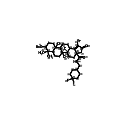 CC(=O)O[C@H]1CC[C@@]2(C)C(CC[C@]3(C)C2CCC2C4=C(C(C)C)C(=O)C[C@]4(C(=O)NCC4CCC(F)(F)CC4)CC[C@]23C)C1(C)C